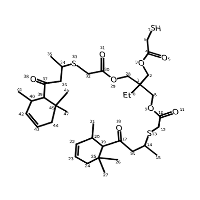 CCC(COC(=O)CS)(COC(=O)CSC(C)CC(=O)C1C(C)C=CCC1(C)C)COC(=O)CSC(C)CC(=O)C1C(C)C=CCC1(C)C